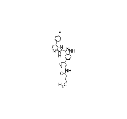 CCCCC(=O)Nc1cncc(-c2ccc3[nH]nc(-c4nc5c(-c6ccc(F)cc6)ccnc5[nH]4)c3c2)c1